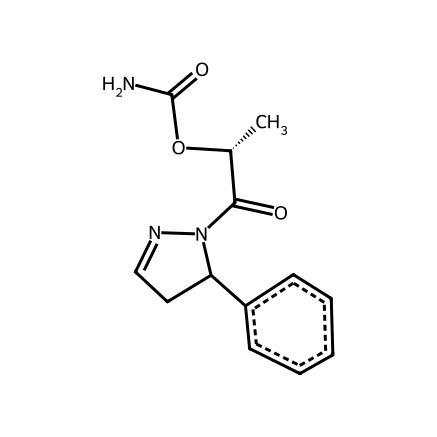 C[C@@H](OC(N)=O)C(=O)N1N=CCC1c1ccccc1